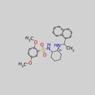 COc1ccc(OC)c(S(=O)(=O)NC2CCCC[C@@H]2NC(C)c2cccc3ccccc23)c1